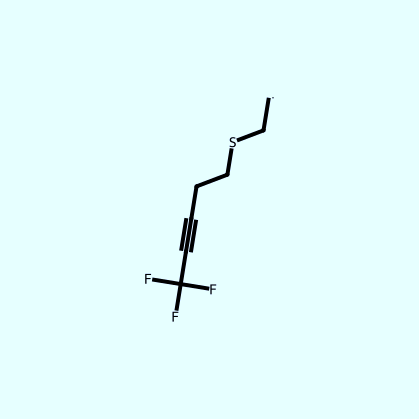 [CH2]CSCCC#CC(F)(F)F